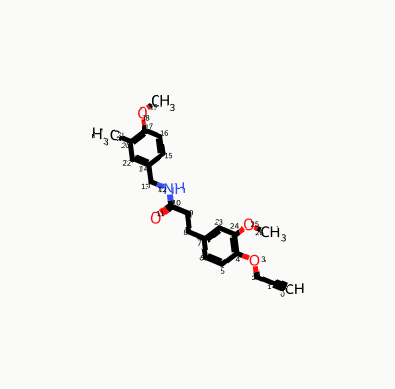 C#CCOc1ccc(CCC(=O)NCc2ccc(OC)c(C)c2)cc1OC